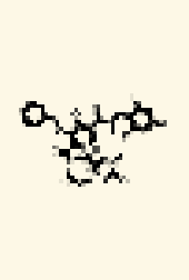 C[C@H]1CC[C@@]2(CN(C)C(=O)O2)[C@H]2CN1C(=O)c1c(OCc3ccccc3)c(=O)c(C(=O)NCc3c(F)cc(F)cc3F)cn12